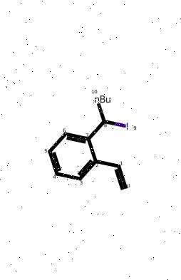 C=Cc1ccccc1C(I)CCCC